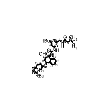 CN(C)CC(=O)NCc1nc(NC(=O)N[C@@]2(C=O)C=C[C@@H](Oc3ccc4nnc(C(C)(C)C)n4c3)c3ccccc32)cc(C(C)(C)C)n1